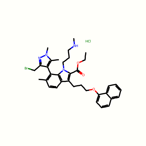 CCOC(=O)c1c(CCCOc2cccc3ccccc23)c2ccc(C)c(-c3c(CBr)nn(C)c3C)c2n1CCCNC.Cl